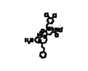 CONC(=O)CC[C@H](C(=O)NCc1ccc(Cl)c(Cl)c1)N1CCC(CCc2ccccc2)N2C[C@H](N)C[C@H]2C1=O